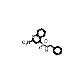 O=[N+]([O-])c1cc(S(=O)(=O)NCc2ccccc2)c2ccccc2n1